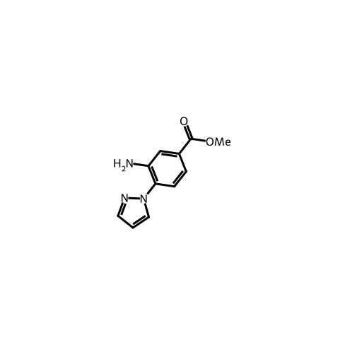 COC(=O)c1ccc(-n2cccn2)c(N)c1